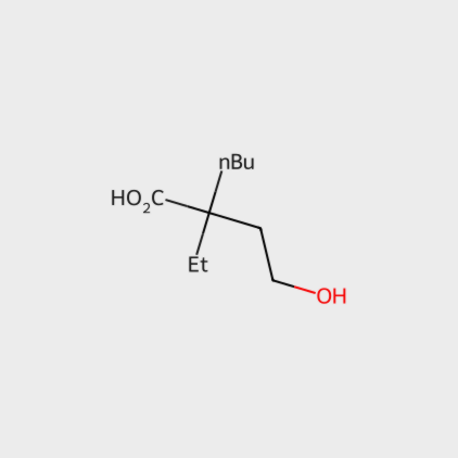 CCCCC(CC)(CCO)C(=O)O